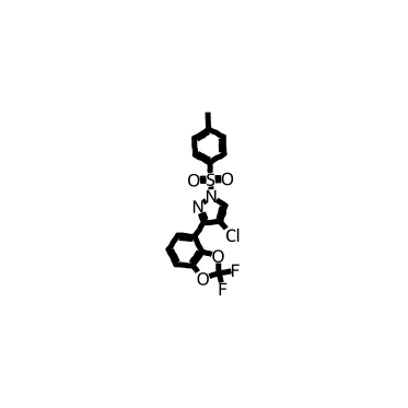 Cc1ccc(S(=O)(=O)n2cc(Cl)c(-c3cccc4c3OC(F)(F)O4)n2)cc1